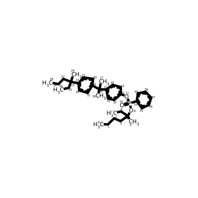 CCCCC(C)(CC)OP(=O)(Oc1ccc(C(C)(C)c2ccc(C(C)(CC)CCC)cc2)cc1)c1ccccc1